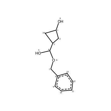 OC1CC(C(O)OCc2ccccc2)C1